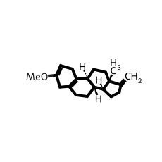 C=C1CC[C@H]2[C@@H]3CCC4=C(CC=C(OC)C4)[C@H]3CC[C@]12C